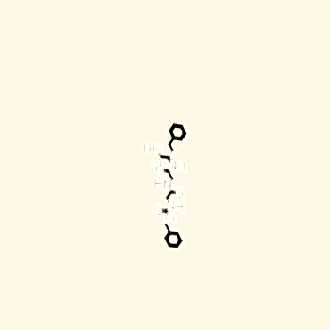 O=C(CNC(=O)OCc1ccccc1)NCC(=O)N[C@@H](CCc1ccccc1)C(=O)O